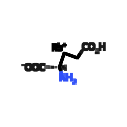 N[C@@H](CCC(=O)O)C(=O)[O-].[Rb+]